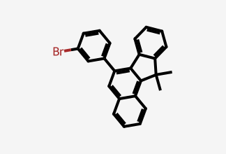 CC1(C)c2ccccc2-c2c(-c3cccc(Br)c3)cc3ccccc3c21